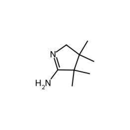 CC1(C)CN=C(N)C1(C)C